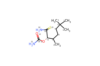 CC(CCC(C)(C)C)[C@H](OC(N)=O)C(N)=S